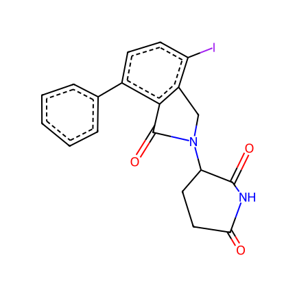 O=C1CCC(N2Cc3c(I)ccc(-c4ccccc4)c3C2=O)C(=O)N1